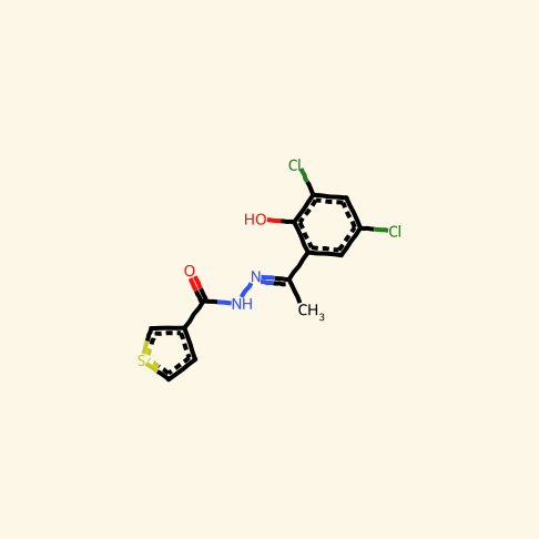 C/C(=N\NC(=O)c1ccsc1)c1cc(Cl)cc(Cl)c1O